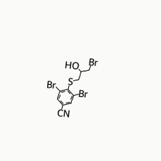 N#Cc1cc(Br)c(SCC(O)CBr)c(Br)c1